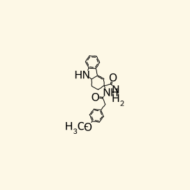 COc1ccc(CC(=O)NC2(C(N)=O)C=C3c4ccccc4NC3CC2)cc1